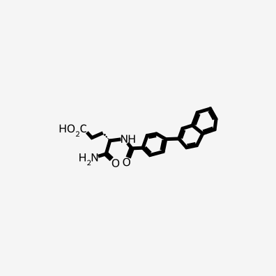 NC(=O)[C@H](CCC(=O)O)NC(=O)c1ccc(-c2ccc3ccccc3c2)cc1